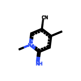 Cc1cc(=N)n(C)cc1C#N